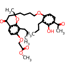 CCCc1c(OCCCCC2(C)CC(=O)c3ccc(OCC(=O)OC)c(CCC)c3O2)ccc(C(C)=O)c1O